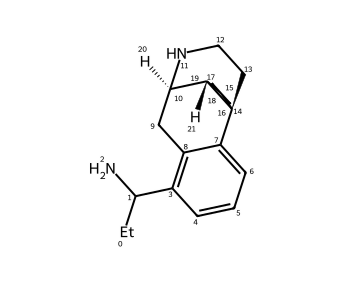 CCC(N)c1cccc2c1C[C@H]1NCC[C@@]23CCCC[C@@H]13